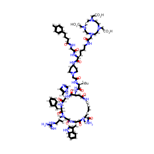 CCCC[C@H](NC(=O)CN1CCC(NC(=O)[C@H](CCCCNC(=O)CN2CCN(CC(=O)O)CCN(CC(=O)O)CCN(CC(=O)O)CC2)NC(=O)CNC(=O)CCCc2ccc(C)cc2)CC1)C(=O)N[C@H]1CC(=O)NCCCC[C@@H](C(N)=O)N(C)C(=O)[C@H](Cc2c[nH]c3ccccc23)NC(=O)[C@H](CCCNC(=N)N)N(C)C(=O)[C@@H](Cc2ccccc2)NC(=O)[C@H](Cc2cnc[nH]2)NC1=O